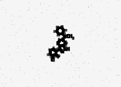 CN(c1cnc2c(-c3cccc(Cl)c3F)n[nH]c2n1)C1CCCCC1